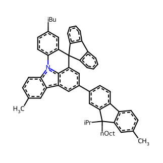 CCCCCCCCC1(C(C)C)c2cc(C)ccc2-c2ccc(-c3cc4c5c(c3)c3cc(C)ccc3n5-c3ccc(C(C)CC)cc3C43c4ccccc4-c4ccccc43)cc21